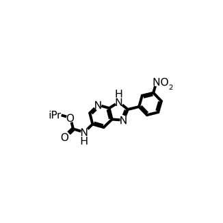 CC(C)OC(=O)Nc1cnc2[nH]c(-c3cccc([N+](=O)[O-])c3)nc2c1